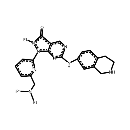 CCN(Cc1cccc(-n2c3nc(Nc4ccc5c(c4)CNCC5)ncc3c(=O)n2CC)n1)C(C)C